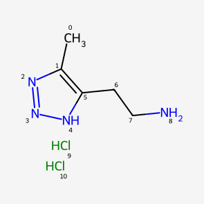 Cc1nn[nH]c1CCN.Cl.Cl